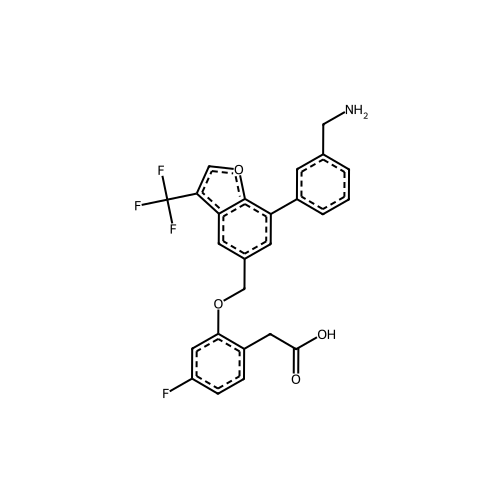 NCc1cccc(-c2cc(COc3cc(F)ccc3CC(=O)O)cc3c(C(F)(F)F)coc23)c1